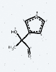 CC(O)(C=O)c1ccsc1